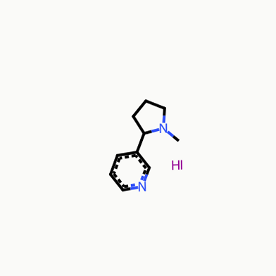 CN1CCCC1c1cccnc1.I